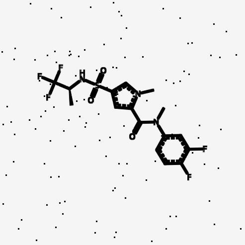 C[C@H](NS(=O)(=O)c1cc(C(=O)N(C)c2ccc(F)c(F)c2)n(C)c1)C(F)(F)F